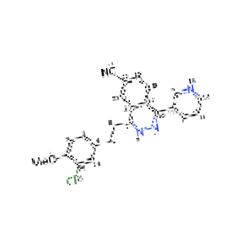 COc1ccc(CCc2nnc(-c3cccnc3)c3ccc(C#N)cc23)cc1Cl